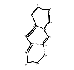 C1=C2C=C3CCCCC3C=C2CCC1